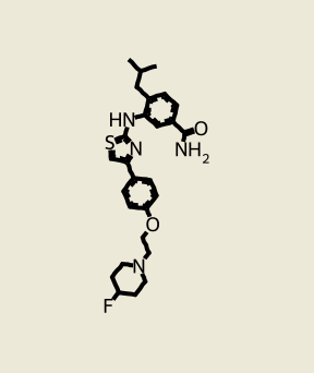 CC(C)Cc1ccc(C(N)=O)cc1Nc1nc(-c2ccc(OCCN3CCC(F)CC3)cc2)cs1